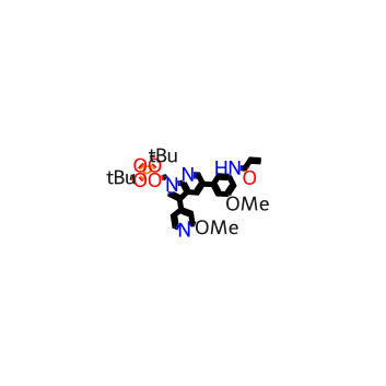 C=CC(=O)Nc1cc(OC)cc(-c2cnc3c(c2)c(-c2ccnc(OC)c2)cn3COP(=O)(OC(C)(C)C)OC(C)(C)C)c1